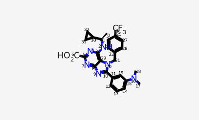 C[C@@H](Nc1nc(C(=O)O)nc2nc(-c3cccc(N(C)C)c3)n(Cc3ccc(C(F)(F)F)cc3)c12)C1CC1